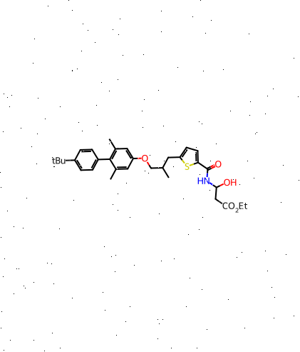 CCOC(=O)CC(O)NC(=O)c1ccc(CC(C)COc2cc(C)c(-c3ccc(C(C)(C)C)cc3)c(C)c2)s1